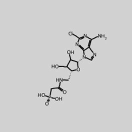 Nc1nc(Cl)nc2c1ncn2[C@@H]1O[C@H](CNC(=O)CP(=O)(O)O)C(O)C1O